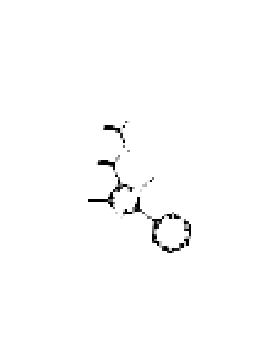 Cc1nc(-c2ccccc2)n(C)c1C(=O)NC(=N)N